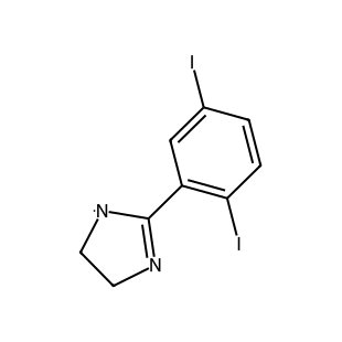 Ic1ccc(I)c(C2=NCC[N]2)c1